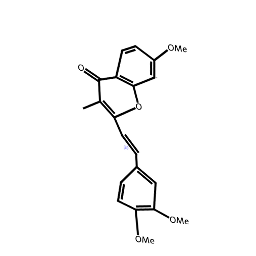 COc1[c]c2oc(/C=C/c3ccc(OC)c(OC)c3)c(C)c(=O)c2cc1